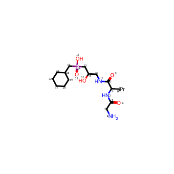 CC(C)C(NC(=O)CN)C(=O)NCC(O)CP(=O)(O)CC1CCCCC1